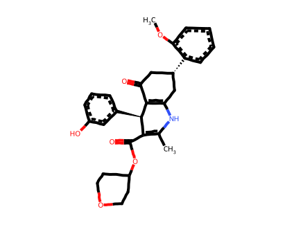 COc1ccccc1[C@H]1CC(=O)C2=C(C1)NC(C)=C(C(=O)OC1CCOCC1)[C@H]2c1cccc(O)c1